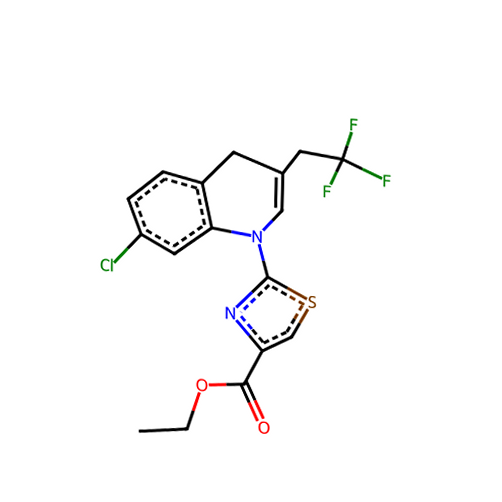 CCOC(=O)c1csc(N2C=C(CC(F)(F)F)Cc3ccc(Cl)cc32)n1